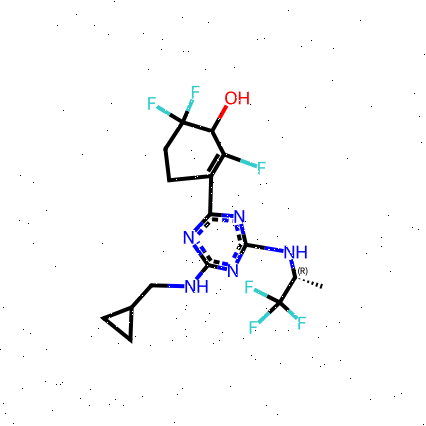 C[C@@H](Nc1nc(NCC2CC2)nc(C2=C(F)C(O)C(F)(F)CC2)n1)C(F)(F)F